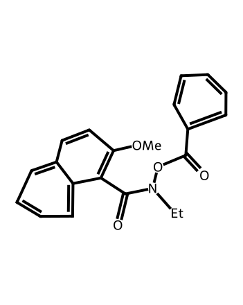 CCN(OC(=O)c1ccccc1)C(=O)c1c(OC)ccc2ccccc12